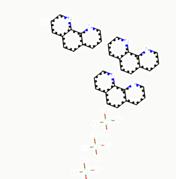 [Co+3].[O-][Cl+3]([O-])([O-])[O-].[O-][Cl+3]([O-])([O-])[O-].[O-][Cl+3]([O-])([O-])[O-].c1cnc2c(c1)ccc1cccnc12.c1cnc2c(c1)ccc1cccnc12.c1cnc2c(c1)ccc1cccnc12